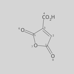 O=C1C=C(C(=O)O)C(=O)O1